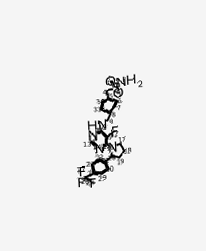 NS(=O)(=O)Cc1ccc(CNc2ncnc(N3CCCC3c3ccc(C(F)(F)F)cc3)c2F)cc1